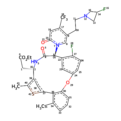 CCOC(=O)C[C@@H]1NC(=O)[C@@H](n2cc(CCN3CC(F)C3)c(C(F)(F)F)cc2=O)c2cc(ccc2F)Oc2cccc(C)c2-c2cc1c(C)s2